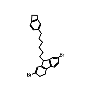 BrC1=CC2=C(CC1)c1ccc(Br)cc1C2CCCCCCc1ccc2c(c1)CC2